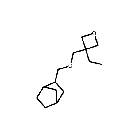 CCC1(COCC2CC3CCC2C3)COC1